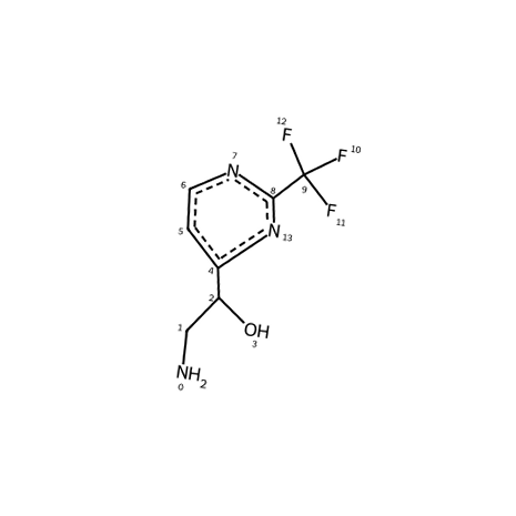 NCC(O)c1ccnc(C(F)(F)F)n1